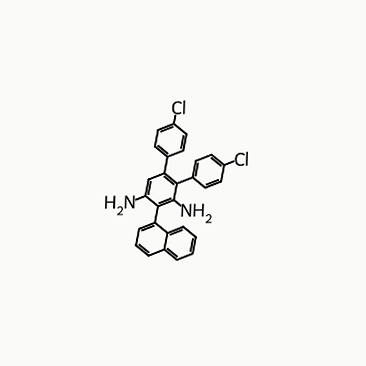 Nc1cc(-c2ccc(Cl)cc2)c(-c2ccc(Cl)cc2)c(N)c1-c1cccc2ccccc12